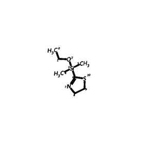 CCO[Si](C)(C)C1=NCCS1